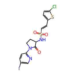 O=C1C(NS(=O)(=O)/C=C/c2ccc(Cl)s2)CCN1c1ccc(I)cn1